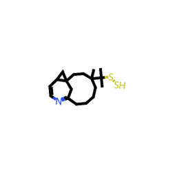 CC1(C(C)(C)SS)CCCCC2=NC=CC3CC3(CC1)C2